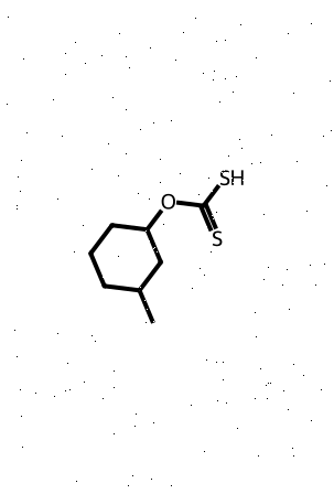 CC1CCCC(OC(=S)S)C1